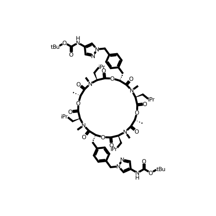 CC(C)C[C@H]1C(=O)O[C@H](Cc2ccc(Cn3cc(NC(=O)OC(C)(C)C)cn3)cc2)C(=O)N(C)[C@@H](CC(C)C)C(=O)O[C@H](C)C(=O)N(C)[C@@H](CC(C)C)C(=O)O[C@H](Cc2ccc(Cn3cc(NC(=O)OC(C)(C)C)cn3)cc2)C(=O)N(C)[C@@H](CC(C)C)C(=O)O[C@H](C)C(=O)N1C